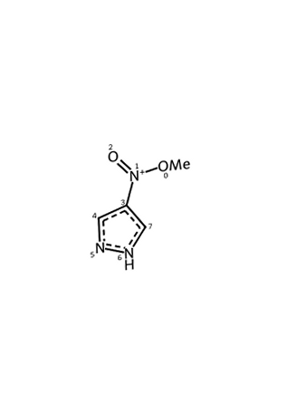 CO[N+](=O)c1cn[nH]c1